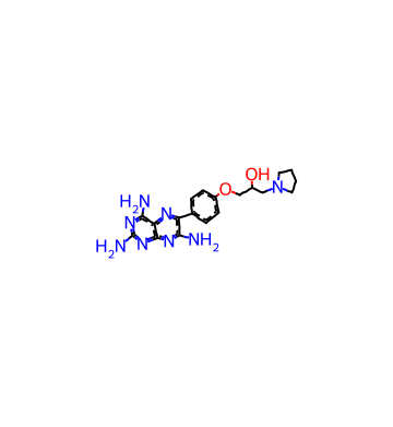 Nc1nc(N)c2nc(-c3ccc(OCC(O)CN4CCCC4)cc3)c(N)nc2n1